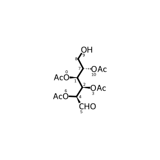 CC(=O)O[C@H]([C@@H](OC(C)=O)[C@@H](C=O)OC(C)=O)[C@H](CO)OC(C)=O